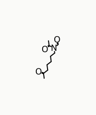 CC(=O)CCCCCN(C=O)C(C)=O